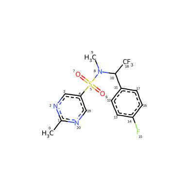 Cc1ncc(S(=O)(=O)N(C)C(c2ccc(F)cc2)C(F)(F)F)cn1